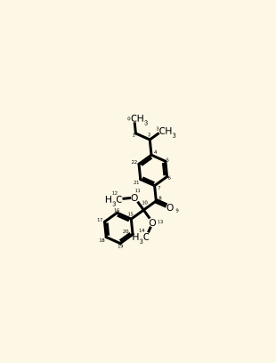 CCC(C)c1ccc(C(=O)C(OC)(OC)c2ccccc2)cc1